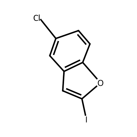 Clc1ccc2oc(I)cc2c1